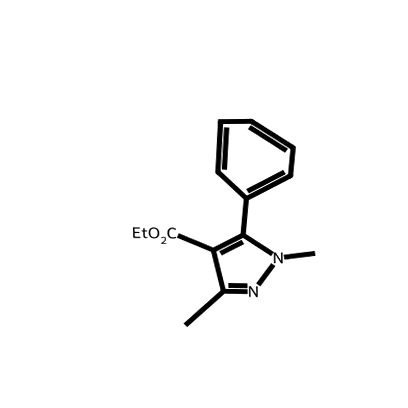 CCOC(=O)c1c(C)nn(C)c1-c1ccccc1